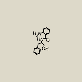 Nc1ccccc1C(=O)NC(CO)Cc1ccccc1